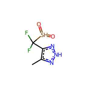 Cc1n[nH]nc1C(F)(F)[SH](=O)=O